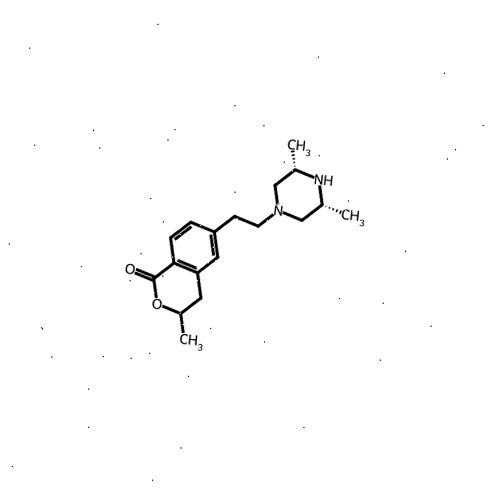 CC1Cc2cc(CCN3C[C@@H](C)N[C@@H](C)C3)ccc2C(=O)O1